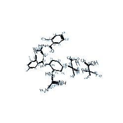 Cc1ccc2nc(NC(=O)c3ccccc3Cl)nc(NC3CCCCC3NC(=N)N)c2c1.O=C(O)C(F)(F)F.O=C(O)C(F)(F)F